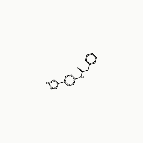 O=C(Cc1ccccc1)Nc1ccc(-c2cn[nH]c2)cc1